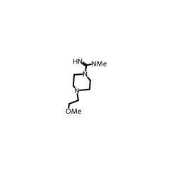 CNC(=N)N1CCN(CCOC)CC1